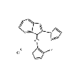 CCCC1=[C]([Hf+2][CH]2C(n3cccc3)=Cc3ccccc32)CC=C1.[Cl-].[Cl-]